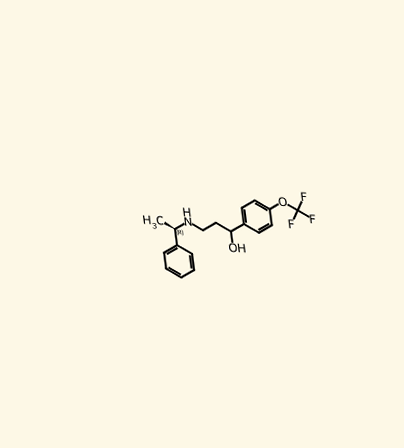 C[C@@H](NCCC(O)c1ccc(OC(F)(F)F)cc1)c1ccccc1